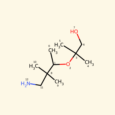 CC(OC(C)(C)CO)C(C)(C)CN